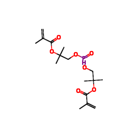 C=C(C)C(=O)OC(C)(C)CO[PH](=O)OCC(C)(C)OC(=O)C(=C)C